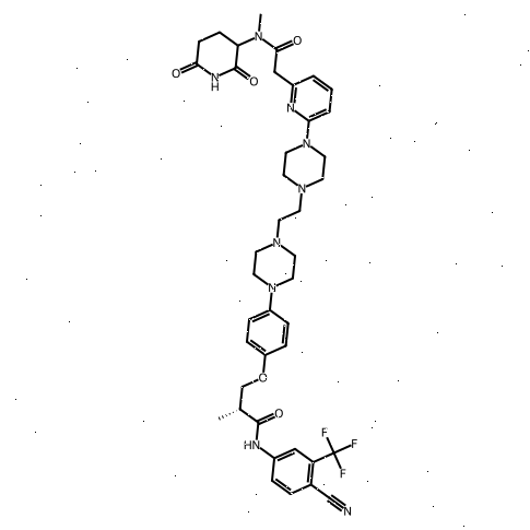 C[C@H](COc1ccc(N2CCN(CCN3CCN(c4cccc(CC(=O)N(C)C5CCC(=O)NC5=O)n4)CC3)CC2)cc1)C(=O)Nc1ccc(C#N)c(C(F)(F)F)c1